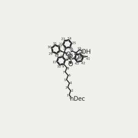 CCCCCCCCCCCCCCCCCCc1cccc(C(OCC(O)CO)(c2ccccc2)c2ccccc2)c1S(=O)(=O)c1ccc(C)cc1